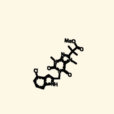 COC(=O)C(C)(C)c1nc2c(c(=O)n(Cc3cc4c(Cl)cccc4[nH]3)c(=O)n2C)n1C